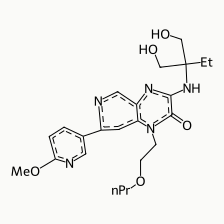 CCCOCCn1c(=O)c(NC(CC)(CO)CO)nc2cnc(-c3ccc(OC)nc3)cc21